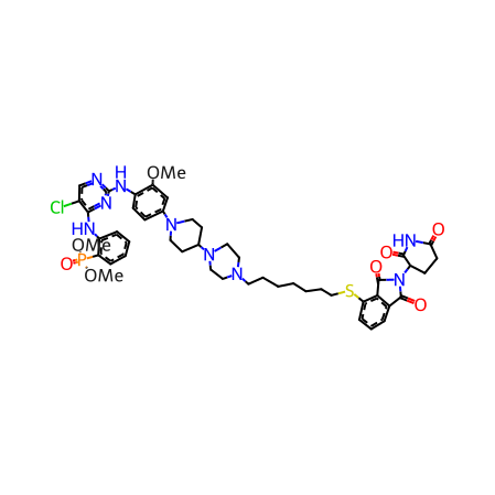 COc1cc(N2CCC(N3CCN(CCCCCCCSc4cccc5c4C(=O)N(C4CCC(=O)NC4=O)C5=O)CC3)CC2)ccc1Nc1ncc(Cl)c(Nc2ccccc2P(=O)(OC)OC)n1